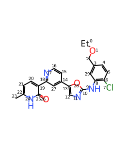 CCOCc1ccc(Cl)c(Nc2ncc(-c3ccnc(-c4ccc(C)[nH]c4=O)c3)o2)c1